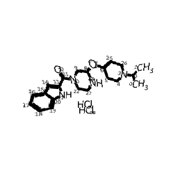 CC(C)N1CCC(OC2CN(C(=O)c3cc4ccccc4[nH]3)CCN2)CC1.Cl.Cl